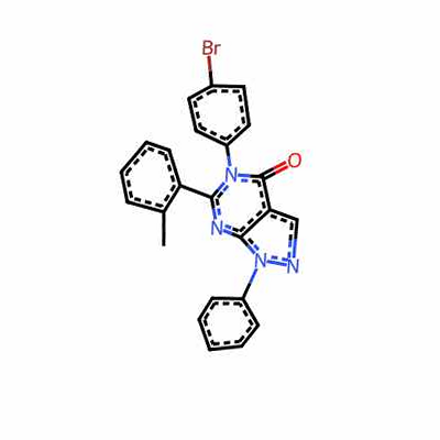 Cc1ccccc1-c1nc2c(cnn2-c2ccccc2)c(=O)n1-c1ccc(Br)cc1